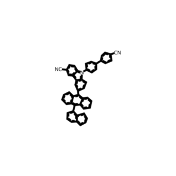 N#Cc1ccc(-c2ccc(-n3c4ccc(C#N)cc4c4cc(-c5c6ccccc6c(-c6cccc7ccccc67)c6ccccc56)ccc43)cc2)cc1